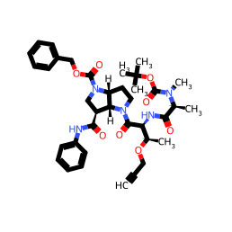 C#CCO[C@H](C)[C@H](NC(=O)[C@H](C)N(C)C(=O)OC(C)(C)C)C(=O)N1CC[C@@H]2[C@H]1[C@@H](C(=O)Nc1ccccc1)CN2C(=O)OCc1ccccc1